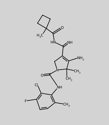 Cc1ccc(F)c(Cl)c1NC(=O)N1CC(C(=N)NC(=O)C2(C)CCC2)=C(N)C1(C)C